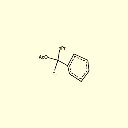 CCCC(CC)(OC(C)=O)c1ccccc1